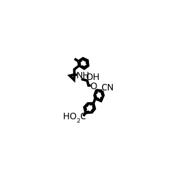 Cc1ccccc1CC1(NC[C@H](O)COc2cc(-c3ccc(C(=O)O)cc3)ccc2C#N)CC1